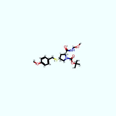 COCNC(=O)[C@@H]1C[C@@H](SCc2ccc(OC)cc2)CN1C(=O)OC(C)(C)C